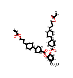 C=CC(=O)OCCCC1CCC(C2CCC(C(=O)Oc3cc(C(=O)OCC)ccc3OC(=O)[C@H]3CC[C@H]([C@H]4CC[C@H](CCCOC(=O)C=C)CC4)CC3)CC2)CC1